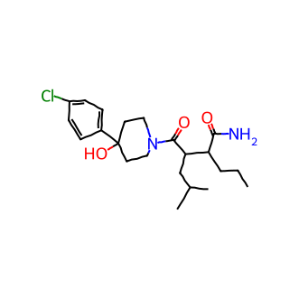 CCCC(C(N)=O)C(CC(C)C)C(=O)N1CCC(O)(c2ccc(Cl)cc2)CC1